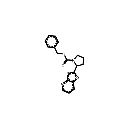 O=C(OCc1ccccc1)N1CCCC1c1nc2ncccc2o1